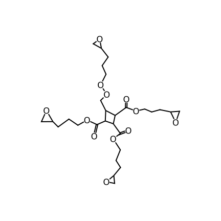 O=C(OCCCC1CO1)C1C(COOCCCC2CO2)C(C(=O)OCCCC2CO2)C1C(=O)OCCCC1CO1